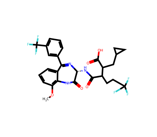 COc1cccc2c1NC(=O)[C@@H](NC(=O)C(CCC(F)(F)F)C(CC1CC1)C(=O)O)N=C2c1cccc(C(F)(F)F)c1